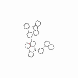 c1ccc(-c2ccccc2N(c2ccc(-c3ccc(-c4ccccc4-n4c5ccccc5c5ccccc54)cc3)cc2)c2cccc(-c3cccc4ccccc34)c2)cc1